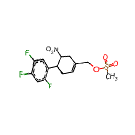 CS(=O)(=O)OCC1=CCC(c2cc(F)c(F)cc2F)C([N+](=O)[O-])C1